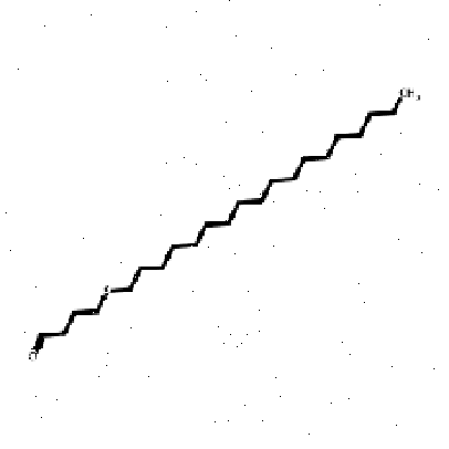 CCCCCCCCCCCCCCCCCCSCCC[C]=O